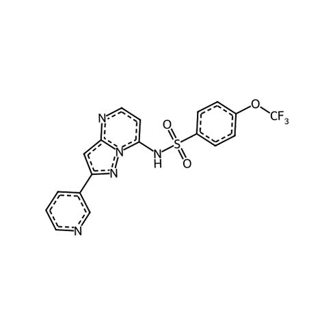 O=S(=O)(Nc1ccnc2cc(-c3cccnc3)nn12)c1ccc(OC(F)(F)F)cc1